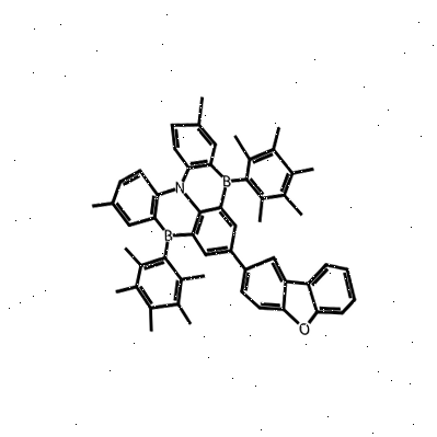 Cc1ccc2c(c1)B(c1c(C)c(C)c(C)c(C)c1C)c1cc(-c3ccc4oc5ccccc5c4c3)cc3c1N2c1ccc(C)cc1B3c1c(C)c(C)c(C)c(C)c1C